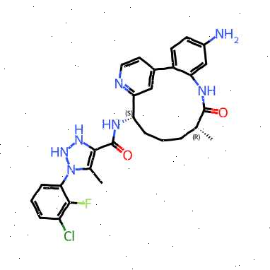 CC1=C(C(=O)N[C@H]2CCC[C@@H](C)C(=O)Nc3cc(N)ccc3-c3ccnc2c3)NNN1c1cccc(Cl)c1F